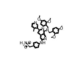 COc1ccc(CN(Cc2ccc(OC)cc2OC)c2nc(-c3cnccc3C)cc3cc(Nc4ccc(CS(N)(=O)=O)cc4)ncc23)c(OC)c1